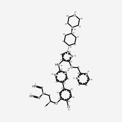 C[C@@H](CN(C=N)N=N)Oc1cc(-c2cnc(Nc3cn([C@H]4CC[C@H](N5CCOCC5)CC4)nc3OCc3ncccn3)nc2)ccc1Cl